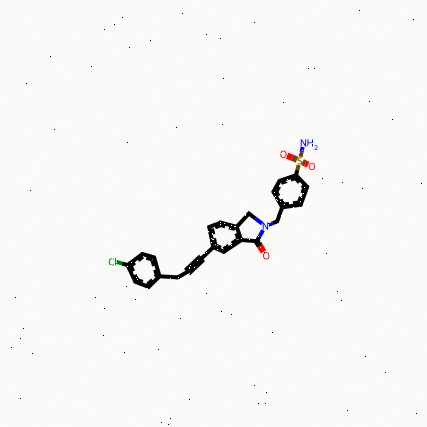 NS(=O)(=O)c1ccc(CN2Cc3ccc(C#CCc4ccc(Cl)cc4)cc3C2=O)cc1